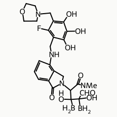 BC(O)(C=O)C(B)(O)C(C(=O)NC)N1Cc2c(NCc3c(O)c(O)c(O)c(CN4CCOCC4)c3F)cccc2C1=O